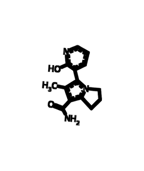 Cc1c(C(N)=O)c2n(c1-c1cccnc1O)CCC2